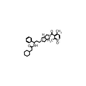 Cc1cc[n+]([O-])c(C)c1C(=O)N1CC2CN(CCC(NC(=O)CC3CCCCC3)c3ccccc3)C[C@H]2C1